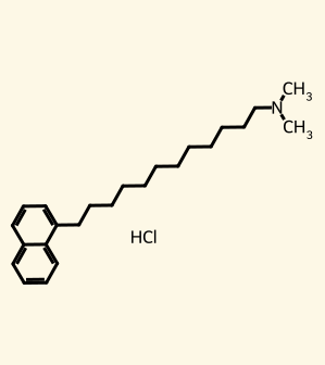 CN(C)CCCCCCCCCCCCc1cccc2ccccc12.Cl